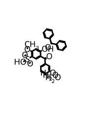 COc1cc(O)c(C(=O)c2ccccc2)cc1S(=O)(=O)O.O.O.O.O=C(c1ccccc1)c1ccccc1